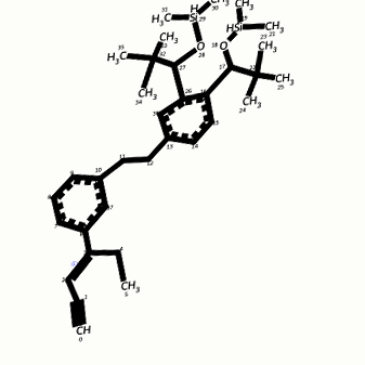 C#C/C=C(\CC)c1cccc(CCc2ccc(C(O[SiH](C)C)C(C)(C)C)c(C(O[SiH](C)C)C(C)(C)C)c2)c1